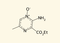 CCOC(=O)c1nc(C)c[n+]([O-])c1N